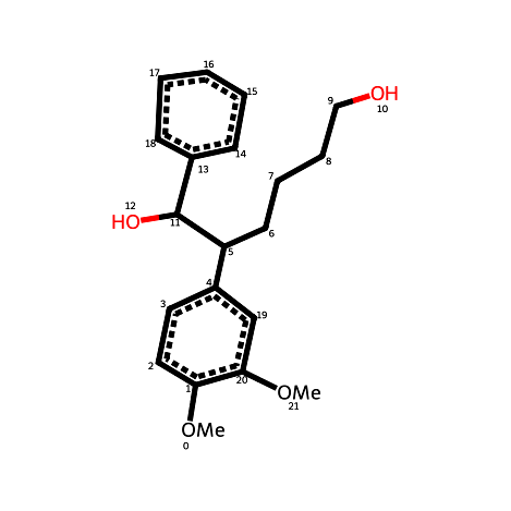 COc1ccc(C(CCCCO)C(O)c2ccccc2)cc1OC